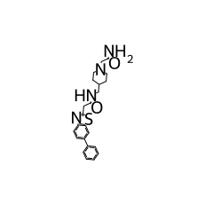 NC(=O)CN1CCC(CNC(=O)Cc2nc3ccc(-c4ccccc4)cc3s2)CC1